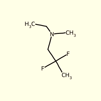 CCN(C)CC(C)(F)F